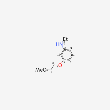 CCNc1cccc(OCCOC)c1